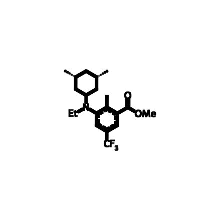 CCN(c1cc(C(F)(F)F)cc(C(=O)OC)c1C)C1C[C@@H](C)C[C@@H](C)C1